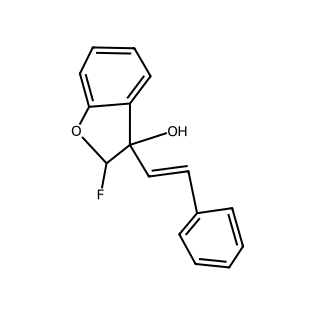 OC1(C=Cc2ccccc2)c2ccccc2OC1F